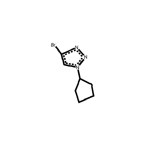 Brc1cn(C2CCCC2)nn1